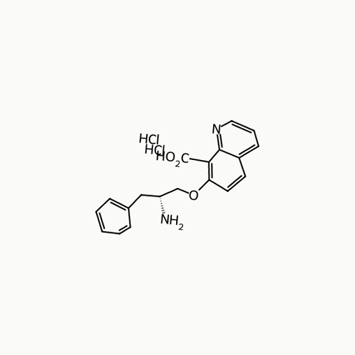 Cl.Cl.N[C@@H](COc1ccc2cccnc2c1C(=O)O)Cc1ccccc1